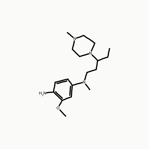 CCC(CCN(C)c1ccc(N)c(OC)c1)N1CCN(C)CC1